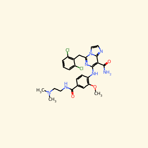 COc1cc(C(=O)NCCN(C)C)ccc1Nc1nc(Cc2c(Cl)cccc2Cl)n2ccnc2c1C(N)=O